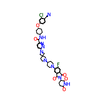 N#Cc1ccc(O[C@H]2CC[C@H](NC(=O)c3ccc(N4CC5(CCN(C6CCN(c7cc8c(cc7F)C(=O)N(C7CCC(=O)NC7=O)C8=O)CC6)C5)C4)nn3)CC2)cc1Cl